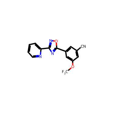 N#Cc1cc(OC(F)(F)F)cc(-c2nc(-c3ccccn3)no2)c1